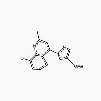 COc1cnn(-c2cc(C)nc3c(O)cccc23)c1